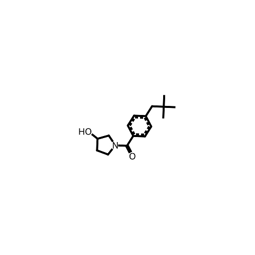 CC(C)(C)Cc1ccc(C(=O)N2CCC(O)C2)cc1